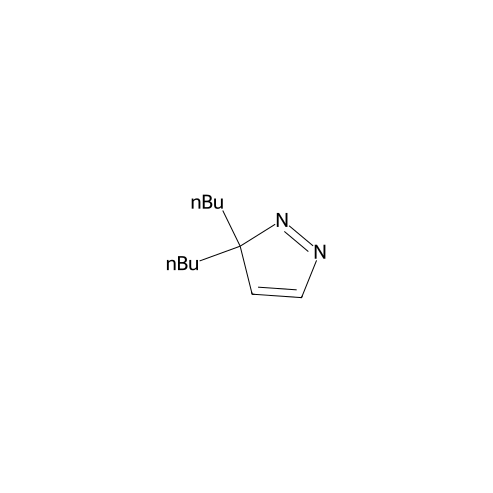 CCCCC1(CCCC)C=CN=N1